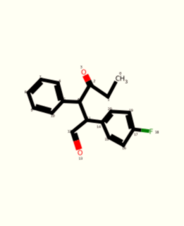 CCC(=O)C(c1ccccc1)C(C=O)c1ccc(F)cc1